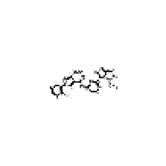 COc1nn(-c2cnccc2C(F)(F)F)cc1C(=O)Nc1cccc(-c2cnc3n2[C@@H](C)CC3)n1